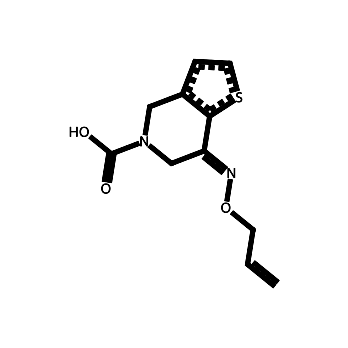 C=CCO/N=C1\CN(C(=O)O)Cc2ccsc21